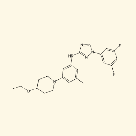 CCOC1CCN(c2cc(C)cc(Nc3ncn(-c4cc(F)cc(F)c4)n3)c2)CC1